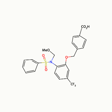 COCN(c1ccc(C(F)(F)F)cc1OCc1ccc(C(=O)O)cc1)S(=O)(=O)c1ccccc1